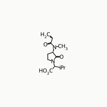 C=CC(=O)N(C)[C@@H]1CCN([C@H](C(=O)O)C(C)C)C1=O